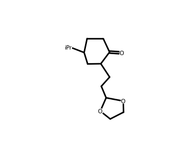 CC(C)C1CCC(=O)C(CCC2OCCO2)C1